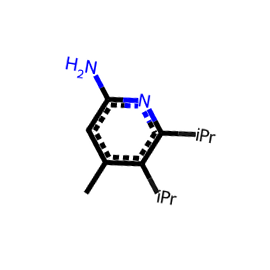 Cc1cc(N)nc(C(C)C)c1C(C)C